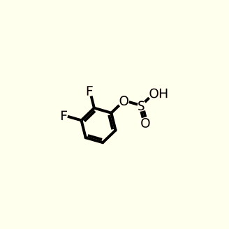 O=S(O)Oc1cccc(F)c1F